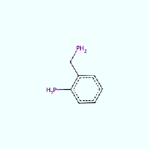 PCc1ccccc1P